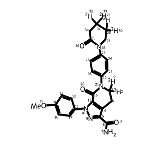 [2H]C1([2H])Cc2c(C(N)=O)nn(-c3ccc(OC)cc3)c2C(=O)N1c1ccc(N2CC([2H])([2H])C([2H])([2H])CC2=O)cc1